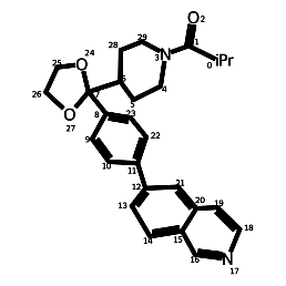 CC(C)C(=O)N1CCC(C2(c3ccc(-c4ccc5cnccc5c4)cc3)OCCO2)CC1